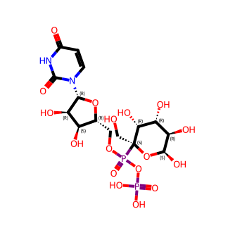 O=c1ccn([C@@H]2O[C@H](COP(=O)(OP(=O)(O)O)[C@]3(CO)O[C@H](O)[C@H](O)[C@@H](O)[C@H]3O)[C@@H](O)[C@H]2O)c(=O)[nH]1